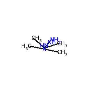 CCCCCCCCCCCCCCCCN(CCCCCCCCCCCCCCCC)C(CCCCCCCCCCCCCCCC)(CCCCCCCCCCCCCCCC)CCNCCCCNCCCN